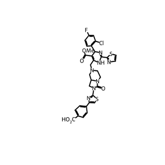 COC(=O)C1=C(CN2CCN3C(=O)N(c4nc(-c5ccc(C(=O)O)cc5)cs4)CC3C2)NC(c2nccs2)=NC1c1ccc(F)cc1Cl